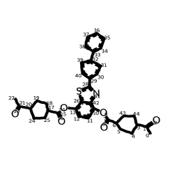 CC(=O)C1CCC(C(=O)Oc2ccc(OC(=O)C3CCC(C(C)=O)CC3)c3sc(-c4ccc(-c5ccccc5)cc4)nc23)CC1